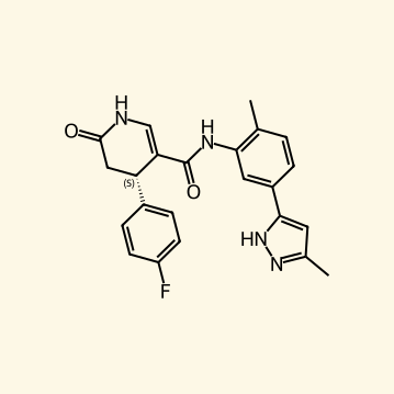 Cc1cc(-c2ccc(C)c(NC(=O)C3=CNC(=O)C[C@H]3c3ccc(F)cc3)c2)[nH]n1